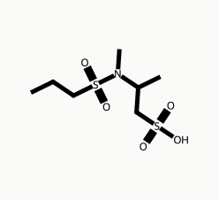 CCCS(=O)(=O)N(C)C(C)CS(=O)(=O)O